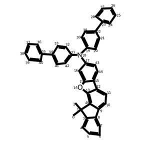 CC1(C)c2ccccc2-c2ccc3c(oc4cc(N(c5ccc(-c6ccccc6)cc5)c5ccc(-c6ccccc6)cc5)ccc43)c21